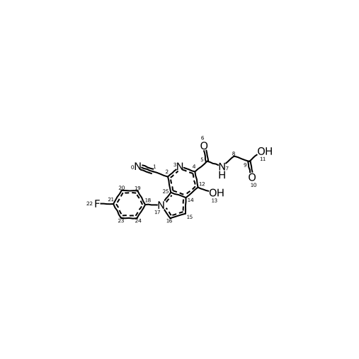 N#Cc1nc(C(=O)NCC(=O)O)c(O)c2ccn(-c3ccc(F)cc3)c12